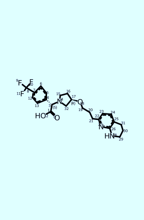 O=C(O)[C@H](c1ccc(C(F)(F)F)cc1)N1CC[C@@H](OCCCc2ccc3c(n2)NCCC3)C1